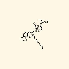 CCC(=O)O.CCCCCCCC[S+]([O-])C(C)Cc1ccc2c(c1)OCO2.O=C1C[C@H]2SCC=CN12